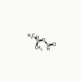 C[SiH](C)O[SiH]Cl